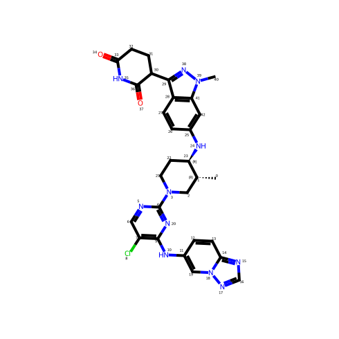 C[C@@H]1CN(c2ncc(Cl)c(Nc3ccc4ncnn4c3)n2)CC[C@H]1Nc1ccc2c(C3CCC(=O)NC3=O)nn(C)c2c1